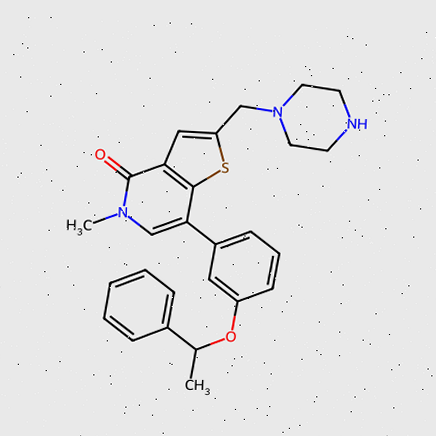 CC(Oc1cccc(-c2cn(C)c(=O)c3cc(CN4CCNCC4)sc23)c1)c1ccccc1